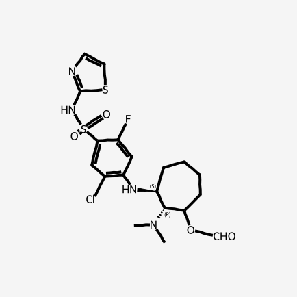 CN(C)[C@H]1C(OC=O)CCCC[C@@H]1Nc1cc(F)c(S(=O)(=O)Nc2nccs2)cc1Cl